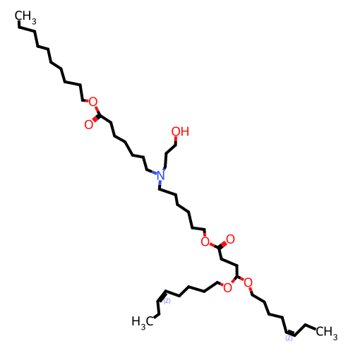 CC/C=C\CCCCOC(CCC(=O)OCCCCCCN(CCCO)CCCCCCC(=O)OCCCCCCCCCC)OCCCC/C=C\CC